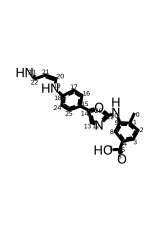 Cc1ccc(C(=O)O)cc1Nc1ncc(-c2ccc(N/C=C\C=N)cc2)o1